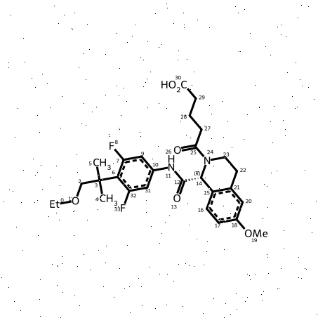 CCOCC(C)(C)c1c(F)cc(NC(=O)[C@H]2c3ccc(OC)cc3CCN2C(=O)CCCC(=O)O)cc1F